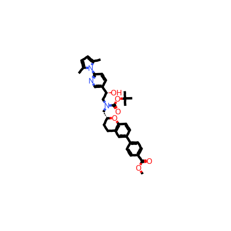 COC(=O)c1ccc(-c2ccc3c(c2)CC[C@H](CN(C[C@@H](O)c2ccc(-n4c(C)ccc4C)nc2)C(=O)OC(C)(C)C)O3)cc1